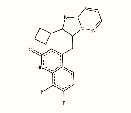 O=c1cc(CC2C(C3CCC3)N=C3C=CC=NN32)c2ccc(F)c(F)c2[nH]1